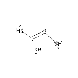 SC=CS.[KH]